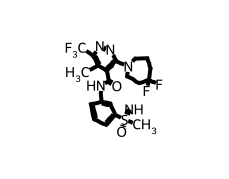 Cc1c(C(F)(F)F)nnc(N2CCCC(F)(F)CC2)c1C(=O)Nc1cccc(S(C)(=N)=O)c1